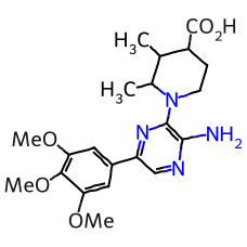 COc1cc(-c2cnc(N)c(N3CCC(C(=O)O)C(C)C3C)n2)cc(OC)c1OC